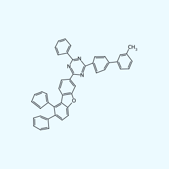 Cc1cccc(-c2ccc(-c3nc(-c4ccccc4)nc(-c4ccc5c(c4)oc4ccc(-c6ccccc6)c(-c6ccccc6)c45)n3)cc2)c1